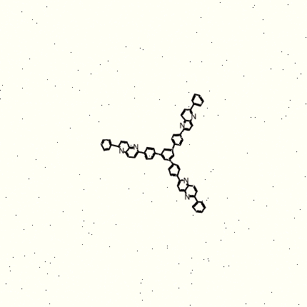 c1ccc(-c2ccc3nc(-c4ccc(-c5cc(-c6ccc(-c7ccc8nc(-c9ccccc9)ccc8n7)cc6)cc(-c6ccc(-c7ccc8nc(-c9ccccc9)ccc8n7)cc6)c5)cc4)ccc3n2)cc1